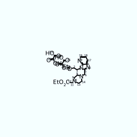 CCOCCn1c(CN2CCN(CC(=O)OCC)CC2)nc2cccnc21.O=C(O)C(=O)O.O=C(O)C(=O)O